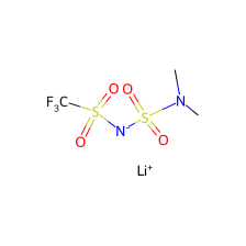 CN(C)S(=O)(=O)[N-]S(=O)(=O)C(F)(F)F.[Li+]